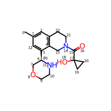 Cc1cc2c(c([C@@H]3COCCN3)c1)CN(C(=O)C1(O)CC1)CC2